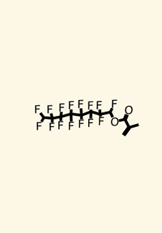 C=C(C)C(=O)OC(F)C(F)(F)C(F)(F)C(F)(F)C(F)(F)C(F)(F)C(F)(F)C(F)F